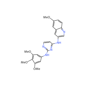 COc1ccc2ncc(Nc3ccnc(Nc4cc(OC)c(OC)c(OC)c4)n3)cc2c1